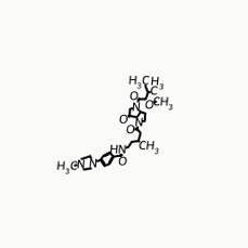 CCC(C)C(OC)C(=O)N1CC(=O)C2C1CCN2C(=O)CC(C)CCNC(=O)c1ccc(N2CCN(C)CC2)cc1